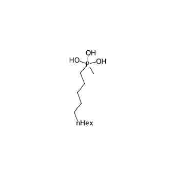 CCCCCCCCCCCP(C)(O)(O)O